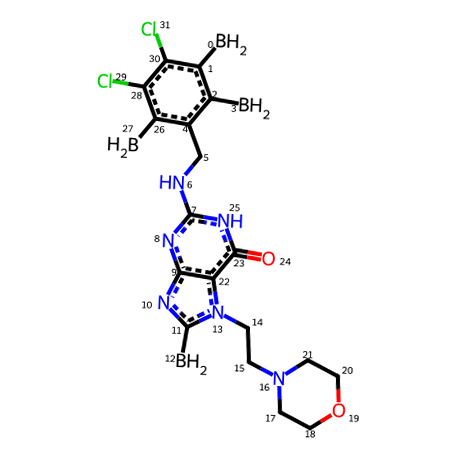 Bc1c(B)c(CNc2nc3nc(B)n(CCN4CCOCC4)c3c(=O)[nH]2)c(B)c(Cl)c1Cl